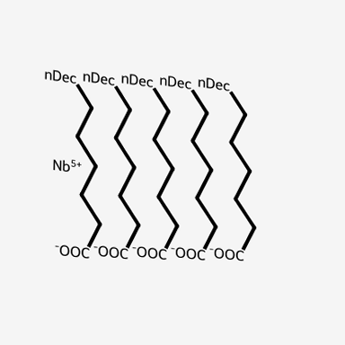 CCCCCCCCCCCCCCCC(=O)[O-].CCCCCCCCCCCCCCCC(=O)[O-].CCCCCCCCCCCCCCCC(=O)[O-].CCCCCCCCCCCCCCCC(=O)[O-].CCCCCCCCCCCCCCCC(=O)[O-].[Nb+5]